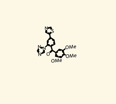 COc1cc(C(=O)c2ccc(-c3cncs3)cc2-n2cncn2)cc(OC)c1OC